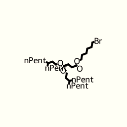 CCCCCC(CCCCC)CCOC(CCC(=O)OCCCCCCBr)OCCC(CCCCC)CCCCC